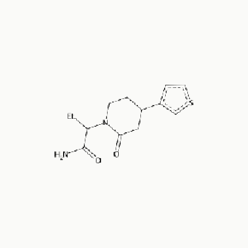 CCC(C(N)=O)N1CCC(c2ccsc2)CC1=O